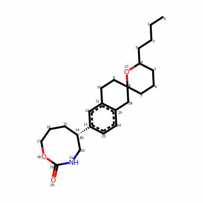 CCCCC1CCCC2(CCc3cc([C@H]4CCCOC(=O)NC4)ccc3C2)O1